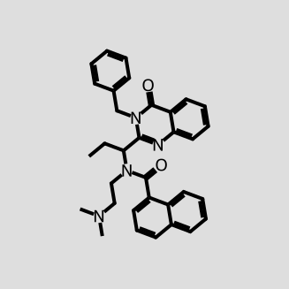 CCC(c1nc2ccccc2c(=O)n1Cc1ccccc1)N(CCN(C)C)C(=O)c1cccc2ccccc12